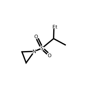 CCC(C)S(=O)(=O)N1CC1